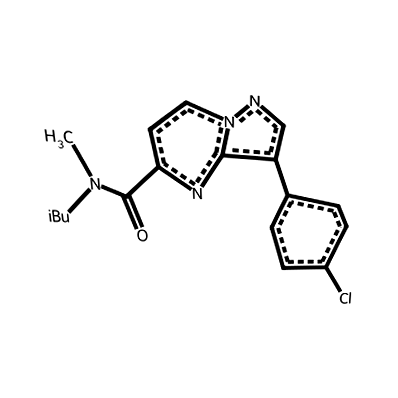 CCC(C)N(C)C(=O)c1ccn2ncc(-c3ccc(Cl)cc3)c2n1